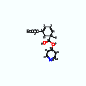 CCOC(=O)C1=CC=CC(C)(C(=O)Oc2ccncc2)C1